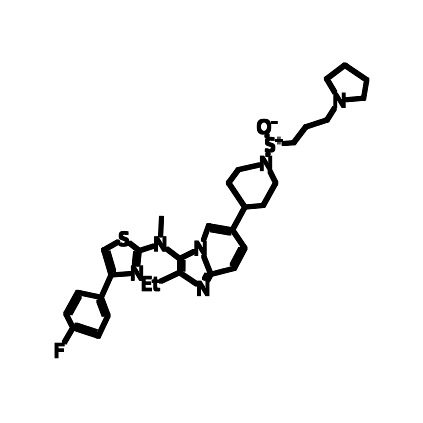 CCc1nc2ccc(C3CCN([S+]([O-])CCCN4CCCC4)CC3)cn2c1N(C)c1nc(-c2ccc(F)cc2)cs1